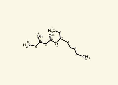 CCCCCC(CC)OC(=O)CC(O)CN